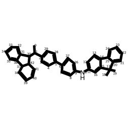 CC(c1ccc(-c2ccc(Nc3ccc4c(c3)C(C)(C)c3ccccc3-4)cc2)cc1)C1c2ccccc2C2C=CC=CC21